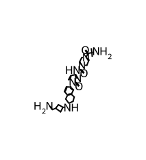 CC(C)(N)C(=O)N1CCN(C(=O)Nc2ccn(-c3ccc4c(c3)CCC(NC3CC(CN)C3)C4)c(=O)n2)CC1